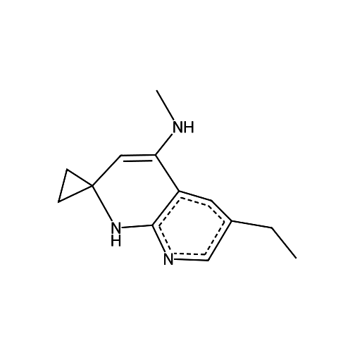 CCc1cnc2c(c1)C(NC)=CC1(CC1)N2